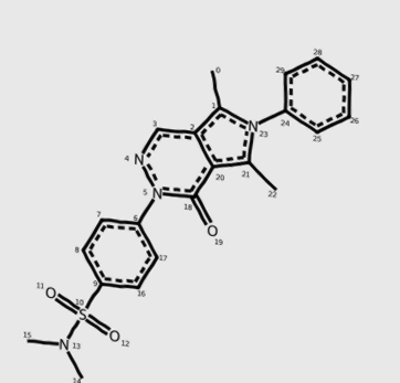 Cc1c2cnn(-c3ccc(S(=O)(=O)N(C)C)cc3)c(=O)c2c(C)n1-c1ccccc1